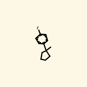 CC1(c2ccc(F)cc2)CCCC1